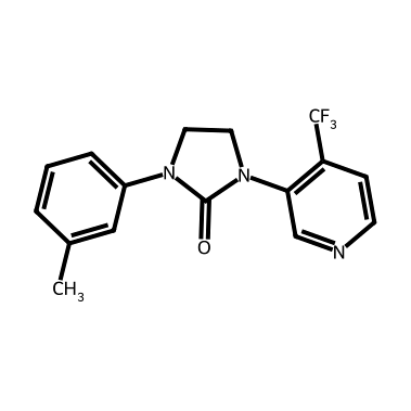 Cc1cccc(N2CCN(c3cnccc3C(F)(F)F)C2=O)c1